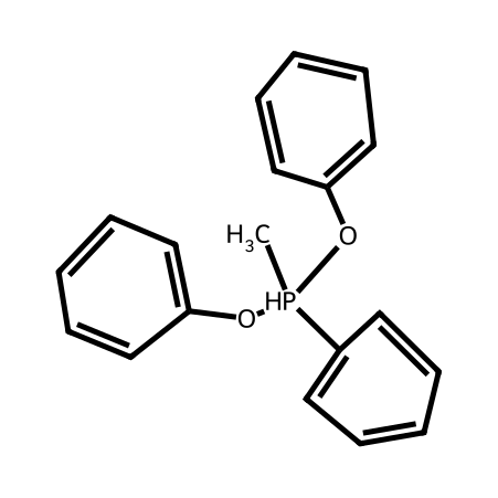 C[PH](Oc1ccccc1)(Oc1ccccc1)c1ccccc1